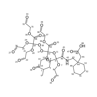 CC(C)CC(=O)C(OCC=O)(OC(OCC=O)(OOC(OCC=O)(OCC=O)C(=O)OCC=O)C(=O)OCC=O)C(=O)NCC1(CC(=O)O)CCCCC1